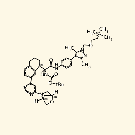 Cc1nn(COCC[Si](C)(C)C)c(C)c1-c1ccc(NC(=O)[C@@H](NC(=O)OC(C)(C)C)[C@@H]2CCCc3ccc(-c4ccnc(N5C[C@H]6C[C@@H]5CO6)c4)cc32)cc1